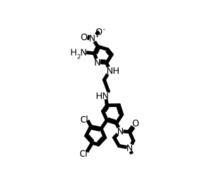 CN1CCN(c2ccc(NCCNc3ccc([N+](=O)[O-])c(N)n3)cc2-c2ccc(Cl)cc2Cl)C(=O)C1